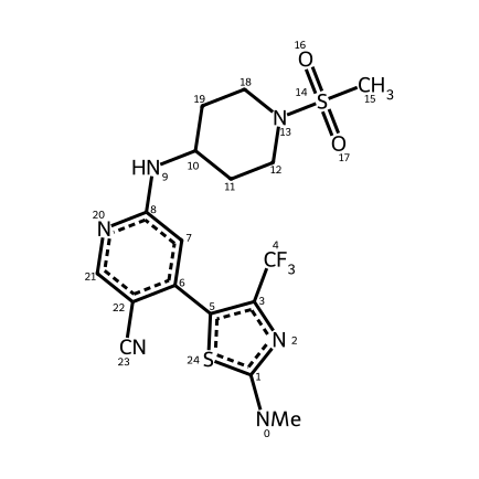 CNc1nc(C(F)(F)F)c(-c2cc(NC3CCN(S(C)(=O)=O)CC3)ncc2C#N)s1